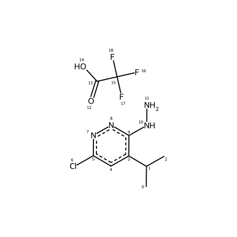 CC(C)c1cc(Cl)nnc1NN.O=C(O)C(F)(F)F